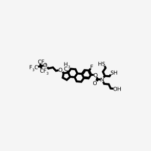 CC12CCC3c4cc(F)c(OC(=O)N(CCCO)C(CS)CCS)cc4CCC3C1CCC2OCCCOC(C(F)(F)F)(C(F)(F)F)C(F)(F)F